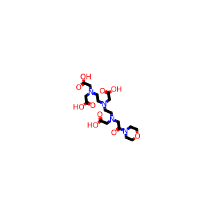 O=C(O)CN(CCN(CC(=O)O)CC(=O)O)CCN(CC(=O)O)CC(=O)N1CCOCC1